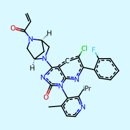 C=CC(=O)N1C[C@H]2C[C@@H]1CN2c1nc(=O)n(-c2c(C)ccnc2C(C)C)c2nc(-c3ccccc3F)c(Cl)cc12